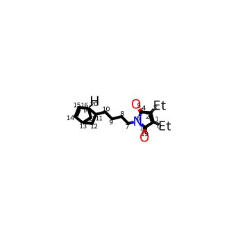 CCC1=C(CC)C(=O)N(CCCCC2CC3C=C[C@@H]2C3)C1=O